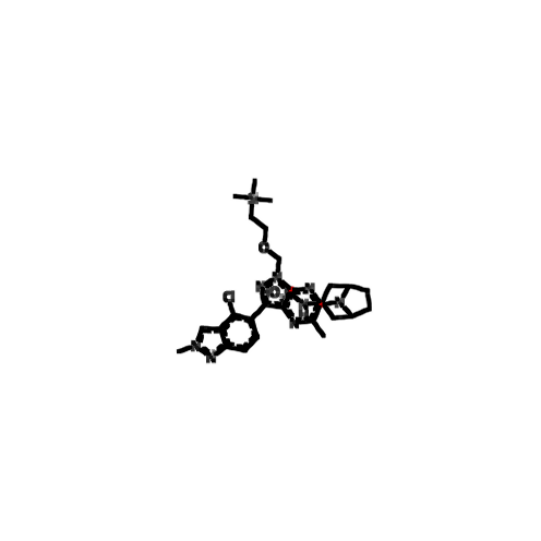 Cc1nc2c(-c3ccc4nn(C)cc4c3Cl)nn(COCC[Si](C)(C)C)c2nc1N1C2CCC1CC(NC(=O)O)C2